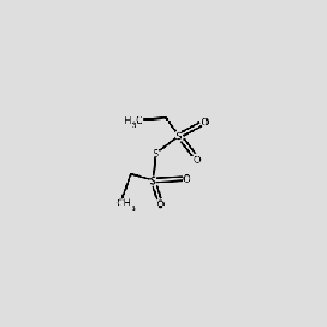 CCS(=O)(=O)SS(=O)(=O)CC